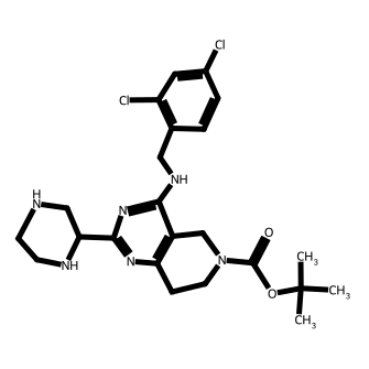 CC(C)(C)OC(=O)N1CCc2nc(C3CNCCN3)nc(NCc3ccc(Cl)cc3Cl)c2C1